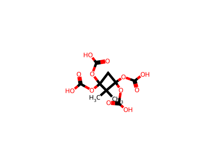 CC1(C)C(OC(=O)O)(OC(=O)O)CC1(OC(=O)O)OC(=O)O